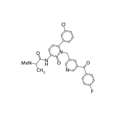 CNC(C)C(=O)Nc1ccc(-c2cccc(Cl)c2)n(Cc2cncc(C(=O)c3ccc(F)cc3)c2)c1=O